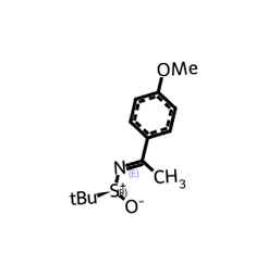 COc1ccc(/C(C)=N/[S@@+]([O-])C(C)(C)C)cc1